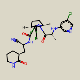 C[C@@H](Nc1cncc(Cl)c1)C(=O)N1[C@@H]2CC[C@H]([C@H]1C(=O)N[C@H](C#N)C[C@@H]1CCCNC1=O)C(F)(F)C2